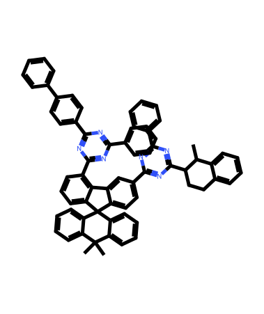 CC1c2ccccc2CCC1c1nc(-c2ccccc2)nc(-c2ccc3c(c2)-c2c(-c4nc(-c5ccccc5)nc(-c5ccc(-c6ccccc6)cc5)n4)cccc2C32c3ccccc3C(C)(C)c3ccccc32)n1